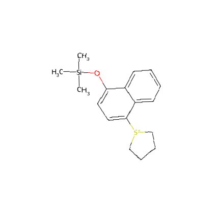 C[Si](C)(C)Oc1ccc([S+]2CCCC2)c2ccccc12